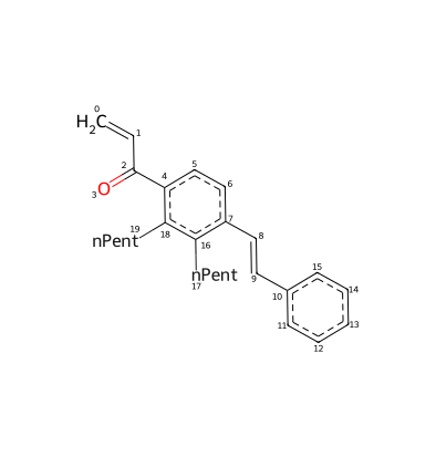 C=CC(=O)c1ccc(C=Cc2ccccc2)c(CCCCC)c1CCCCC